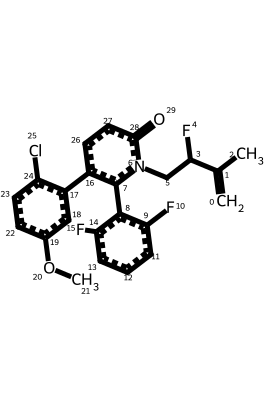 C=C(C)C(F)Cn1c(-c2c(F)cccc2F)c(-c2cc(OC)ccc2Cl)ccc1=O